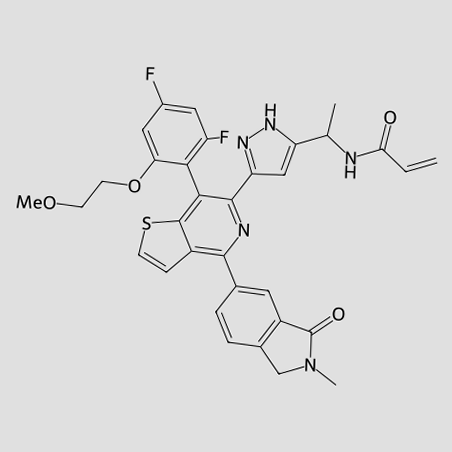 C=CC(=O)NC(C)c1cc(-c2nc(-c3ccc4c(c3)C(=O)N(C)C4)c3ccsc3c2-c2c(F)cc(F)cc2OCCOC)n[nH]1